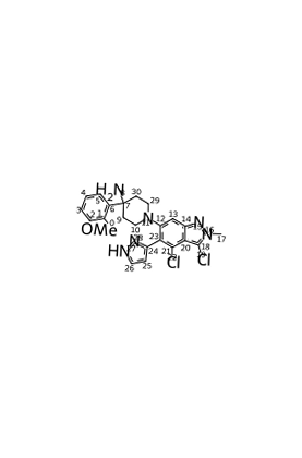 COc1ccccc1C1(N)CCN(c2cc3nn(C)c(Cl)c3c(Cl)c2-c2cc[nH]n2)CC1